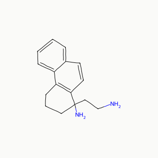 NCCC1(N)CCCc2c1ccc1ccccc21